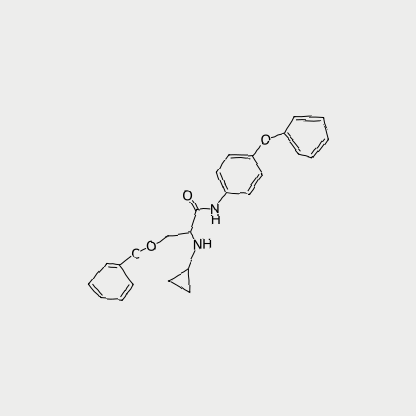 O=C(Nc1ccc(Oc2ccccc2)cc1)C(COCc1ccccc1)NC1CC1